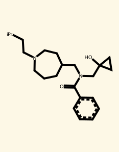 CC(C)CCN1CCCC(CN(CC2(O)CC2)C(=O)c2ccccc2)CC1